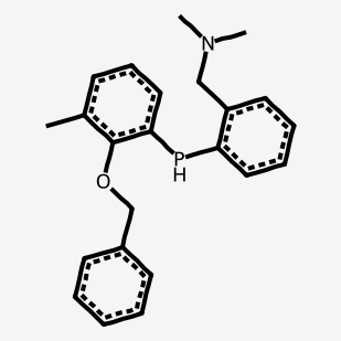 Cc1cccc(Pc2ccccc2CN(C)C)c1OCc1ccccc1